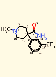 CN1CCC(C(N)=O)(c2cccc(C(F)(F)F)c2)CC1